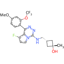 COc1ccc(-c2nnc(NC[C@H]3C[C@@](C)(O)C3)n3ccc(F)c23)c(OC(F)(F)F)c1